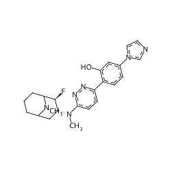 CN1C2CCCC1[C@@H](F)[C@H](N(C)c1ccc(-c3ccc(-n4ccnc4)cc3O)nn1)C2